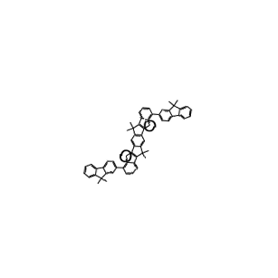 CC1(C)c2ccccc2-c2ccc(-c3cccc4c5c(oc34)-c3cc4c(cc3C5(C)C)-c3oc5c(-c6ccc7c(c6)C(C)(C)c6ccccc6-7)cccc5c3C4(C)C)cc21